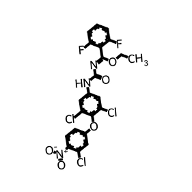 CCOC(=NC(=O)Nc1cc(Cl)c(Oc2ccc([N+](=O)[O-])c(Cl)c2)c(Cl)c1)c1c(F)cccc1F